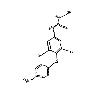 CC(C)NC(=O)Nc1cc(Cl)c(Sc2ccc([N+](=O)[O-])cc2)c(Cl)c1